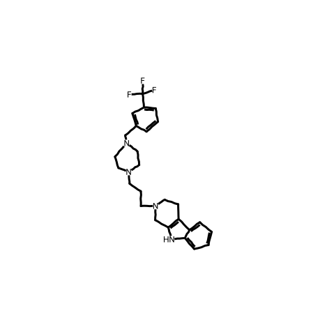 FC(F)(F)c1cccc(CN2CCN(CCCN3CCc4c([nH]c5ccccc45)C3)CC2)c1